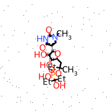 CCC(C)(CC1O[C@@H](c2cn(C)c(=O)[nH]c2=O)[C@H](O)[C@@H]1O)OP(=O)(O)C(O)(CC)CC